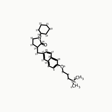 CN(C)CCCOc1ccc2cc(CC3CCN(C4CCCCC4)C3=O)ccc2c1